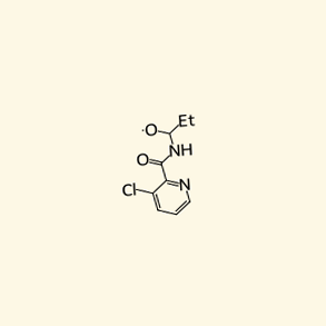 CCC([O])NC(=O)c1ncccc1Cl